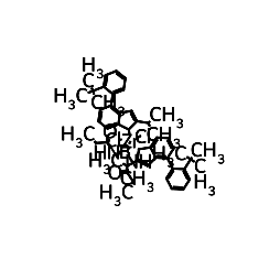 CCC(=O)N[B](NC(=O)CC)[Zr]([Cl])([Cl])([CH]1C(C(C)C)=Cc2c(-c3ccccc3C(C)(C)C)cccc21)[CH]1C(C(C)C)=Cc2c(-c3ccccc3C(C)(C)C)cccc21